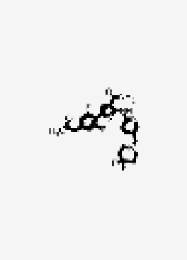 CC(O)Cc1cc(F)c(-c2cc(C(N)=O)c(Nc3ccc(CN4CCC(F)(F)CC4)cn3)s2)c(F)c1